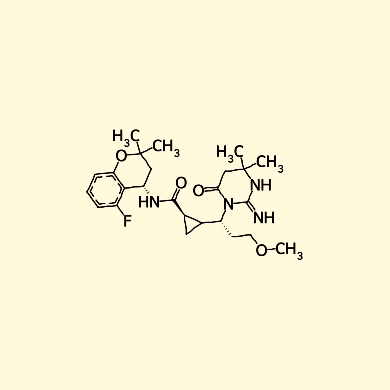 COCC[C@H](C1C[C@H]1C(=O)N[C@H]1CC(C)(C)Oc2cccc(F)c21)N1C(=N)NC(C)(C)CC1=O